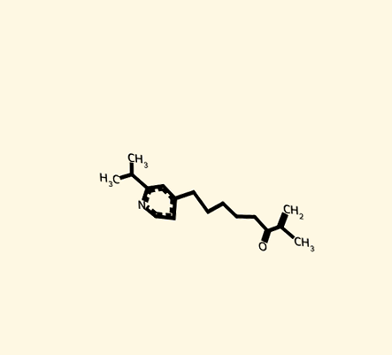 C=C(C)C(=O)CCCCCc1ccnc(C(C)C)c1